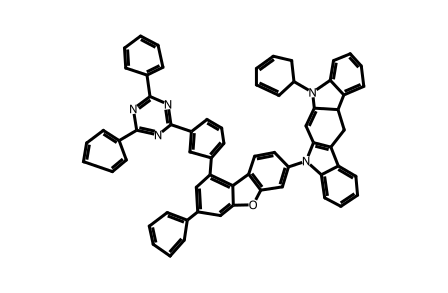 C1=CCC(N2C3=Cc4c(c5ccccc5n4-c4ccc5c(c4)oc4cc(-c6ccccc6)cc(-c6cccc(-c7nc(-c8ccccc8)nc(-c8ccccc8)n7)c6)c45)CC3c3ccccc32)C=C1